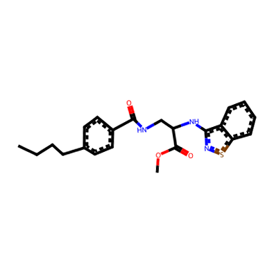 CCCCc1ccc(C(=O)NCC(Nc2nsc3ccccc23)C(=O)OC)cc1